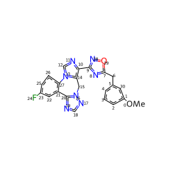 COc1cccc(Cc2nc(-c3ncn4c3Cn3ncnc3-c3cc(F)ccc3-4)no2)c1